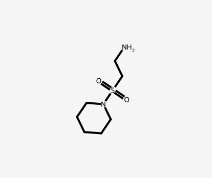 NCCS(=O)(=O)N1CCCCC1